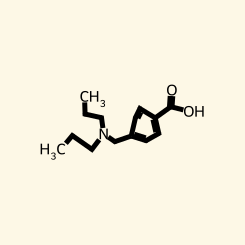 CCCN(CCC)Cc1ccc(C(=O)O)cc1